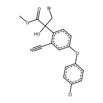 COC(=O)C(O)(CBr)c1ccc(Oc2ccc(Cl)cc2)cc1C#N